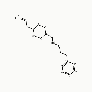 C=CCC1CCC(OBOCCc2ccccc2)CC1